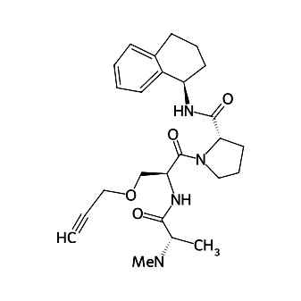 C#CCOC[C@H](NC(=O)[C@H](C)NC)C(=O)N1CCC[C@H]1C(=O)N[C@@H]1CCCc2ccccc21